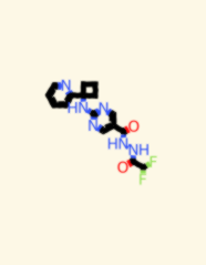 O=C(NNC(=O)C(F)F)c1cnc(NC2(c3ccccn3)CCC2)nc1